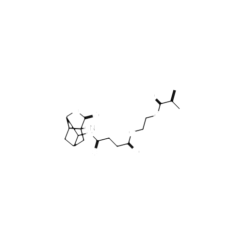 C=C(C)C(=O)OCCOC(=O)CCC(=O)OC1C2CC3C1OC(=O)C3(C#N)C2